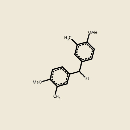 CCC(c1ccc(OC)c(C)c1)c1ccc(OC)c(C)c1